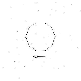 C1CCCCCCCCC1.CO